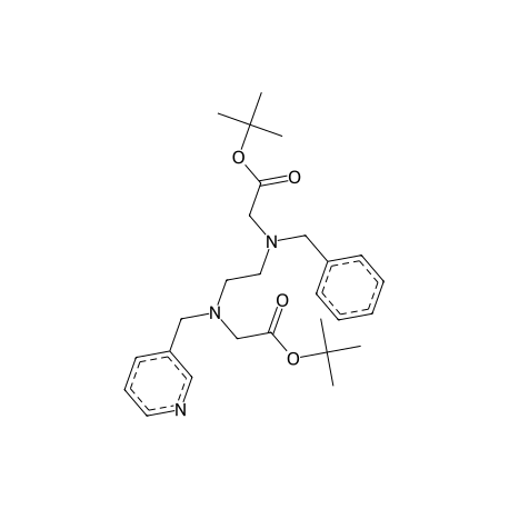 CC(C)(C)OC(=O)CN(CCN(CC(=O)OC(C)(C)C)Cc1cccnc1)Cc1ccccc1